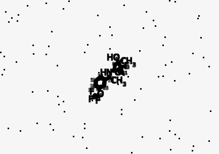 C[C@H](NC(=O)C[C@@](C)(O)C1(F)CC1)c1cccc(OC(F)(F)F)c1